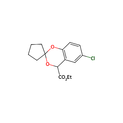 CCOC(=O)C1OC2(CCCC2)Oc2ccc(Cl)cc21